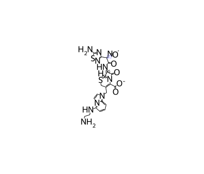 CO/N=C(\C(=O)N[C@@H]1C(=O)N2C(C(=O)[O-])=C(Cn3cc[n+]4c(NCCN)cccc34)CS[C@@H]12)c1nsc(N)n1